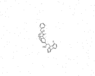 CN(C1C2CC3C[C@@H]1CC(C(O)CC1c4c(F)cccc4-c4cncn41)(C3)C2)S(=O)(=O)Cc1ccccc1